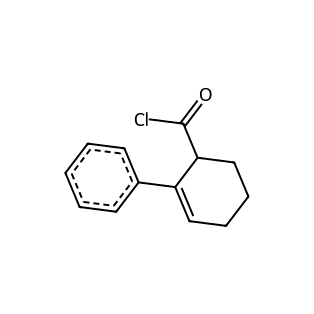 O=C(Cl)C1CCCC=C1c1ccccc1